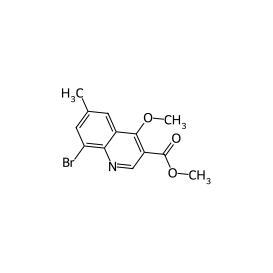 COC(=O)c1cnc2c(Br)cc(C)cc2c1OC